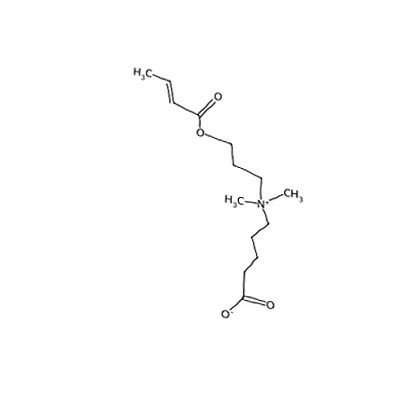 CC=CC(=O)OCCC[N+](C)(C)CCCCC(=O)[O-]